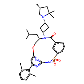 Cc1cccc(C)c1-c1cc2nc(n1)NS(=O)(=O)c1cccc(c1)C(=O)N([C@H]1C[C@@H](N3C[C@@H](C)CC3(C)C)C1)[C@H](CC(C)C)CO2